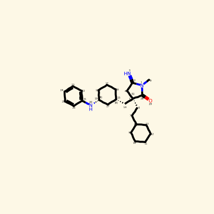 CN1C(=N)C[C@](CCC2CCCCC2)(C[C@H]2CCC[C@@H](Nc3ccccc3)C2)C1=O